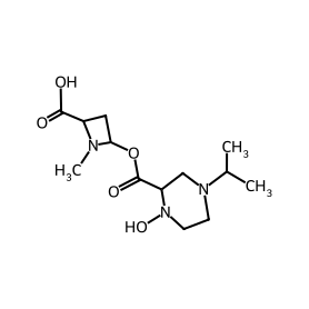 CC(C)N1CCN(O)C(C(=O)OC2CC(C(=O)O)N2C)C1